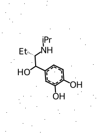 CC[C@H](NC(C)C)C(O)c1ccc(O)c(O)c1